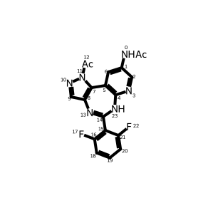 CC(=O)Nc1cnc2c(c1)-c1c(cnn1C(C)=O)N=C(c1c(F)cccc1F)N2